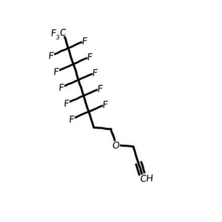 C#CCOCCC(F)(F)C(F)(F)C(F)(F)C(F)(F)C(F)(F)C(F)(F)F